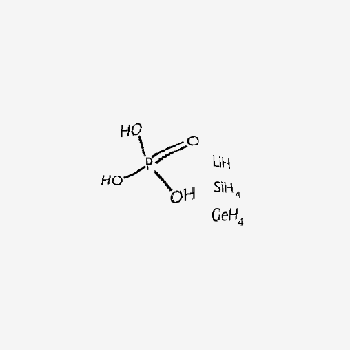 O=P(O)(O)O.[GeH4].[LiH].[SiH4]